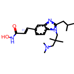 CC(C)Cc1nc2cc(/C=C/C(=O)NO)ccc2n1CC(C)(C)CN(C)C